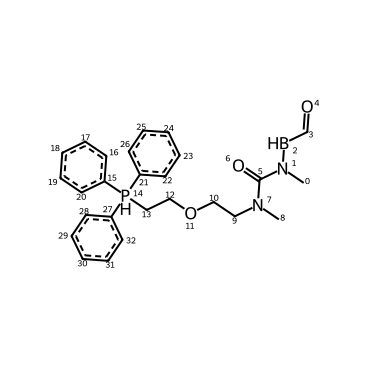 CN(BC=O)C(=O)N(C)CCOCC[PH](c1ccccc1)(c1ccccc1)c1ccccc1